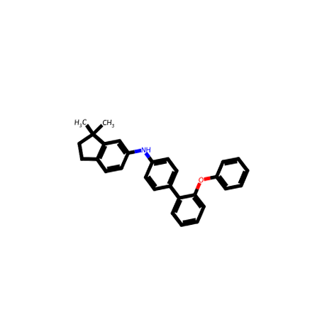 CC1(C)CCc2ccc(Nc3ccc(-c4ccccc4Oc4ccccc4)cc3)cc21